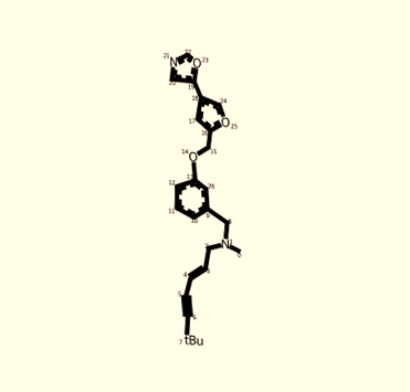 CN(CC=CC#CC(C)(C)C)Cc1cccc(OCc2cc(-c3cnco3)co2)c1